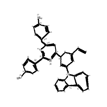 C=CC1=CC(n2c3ccccc3c3ccccc32)=CC(c2cc(-c3ccc(C(C)(C)C)cc3)nc(-c3ccc(C(C)(C)C)cc3)n2)C1